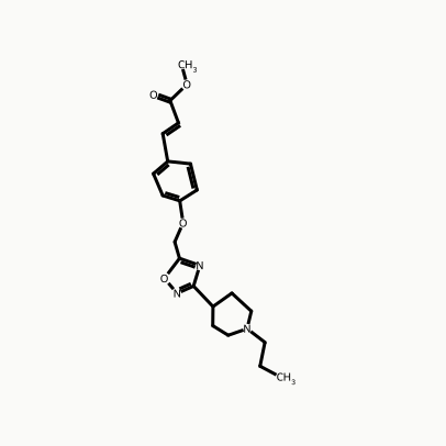 CCCN1CCC(c2noc(COc3ccc(C=CC(=O)OC)cc3)n2)CC1